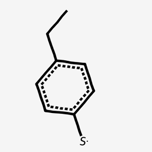 CCc1ccc([S])cc1